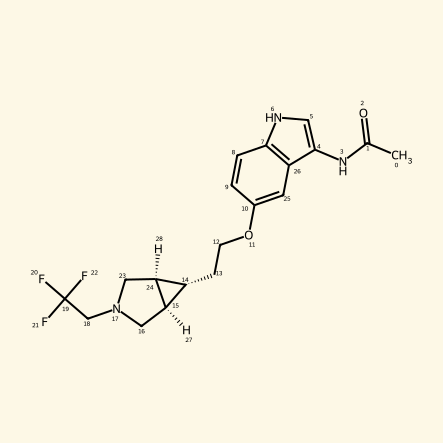 CC(=O)Nc1c[nH]c2ccc(OCC[C@@H]3[C@H]4CN(CC(F)(F)F)C[C@@H]34)cc12